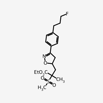 CCOC(=O)C(C)(CC1CC(c2ccc(CCCF)cc2)=NO1)S(C)(=O)=O